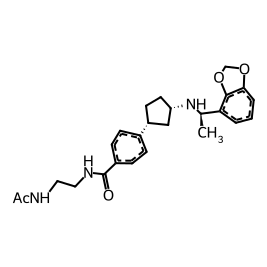 CC(=O)NCCNC(=O)c1ccc([C@@H]2CC[C@H](N[C@H](C)c3cccc4c3OCO4)C2)cc1